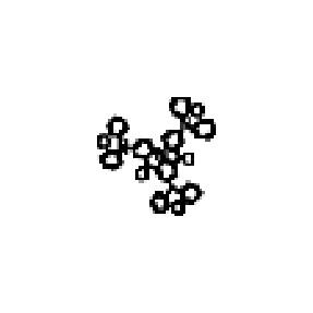 O=c1c2cc(N3c4ccccc4Oc4ccccc43)ccc2n2c3ccc(N4c5ccccc5Oc5ccccc54)cc3c(=O)c3cc(C4c5ccccc5Oc5ccccc54)cc1c32